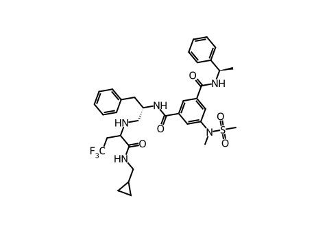 C[C@@H](NC(=O)c1cc(C(=O)N[C@H](CNC(CC(F)(F)F)C(=O)NCC2CC2)Cc2ccccc2)cc(N(C)S(C)(=O)=O)c1)c1ccccc1